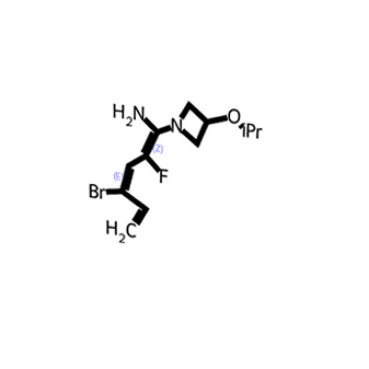 C=C/C(Br)=C\C(F)=C(/N)N1CC(OC(C)C)C1